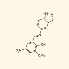 COc1cc([N+](=O)[O-])cc(/C=N/c2ccc3[nH]ncc3c2)c1O